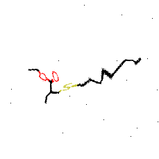 CCCCCCCCSCC(C)C(=O)OCC